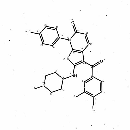 Cc1cc(C(=O)c2c(NC3CCN(C)CC3)sc3c2ccc(=O)n3-c2ccc(F)cc2)ccc1F